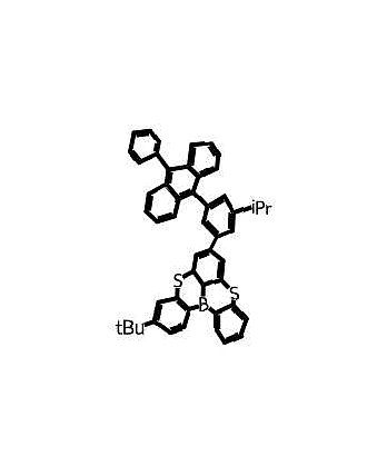 CC(C)c1cc(C2=CC3Sc4cc(C(C)(C)C)ccc4B4c5ccccc5SC(=C2)C43)cc(-c2c3ccccc3c(-c3ccccc3)c3ccccc23)c1